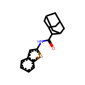 O=C(Nc1cc2ccccc2s1)C1C2CC3CC(C2)CC1C3